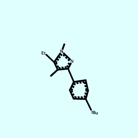 CCc1c(C)c(-c2ccc(C(C)(C)C)cc2)nn1C